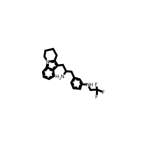 NC(Cc1cccc(NCC(F)(F)F)c1)Cc1c2n(c3ccccc13)CCCC2